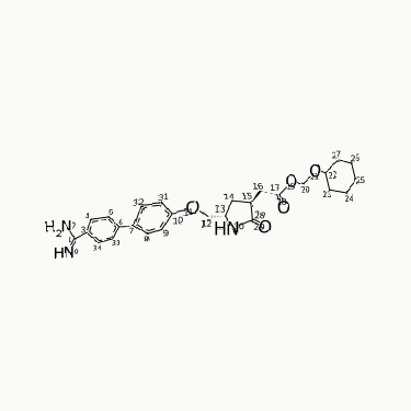 N=C(N)c1ccc(-c2ccc(OC[C@@H]3C[C@@H](CC(=O)OCOC4CCCCC4)C(=O)N3)cc2)cc1